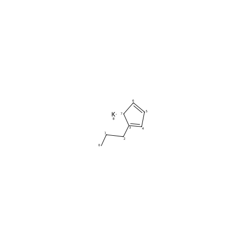 CCCC1=CC=CC1.[K]